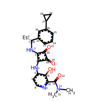 CC[C@@H](Nc1c(Nc2ccnc(C(=O)N(C)C)c2O)c(=O)c1=O)c1cccc(C2CC2)c1